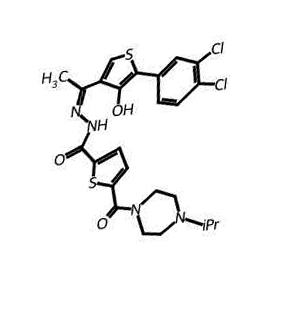 CC(=NNC(=O)c1ccc(C(=O)N2CCN(C(C)C)CC2)s1)c1csc(-c2ccc(Cl)c(Cl)c2)c1O